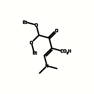 CCOC(OCC)C(=O)C(=CN(C)C)C(=O)O